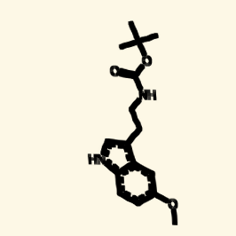 COc1ccc2[nH]cc(CCNC(=O)OC(C)(C)C)c2c1